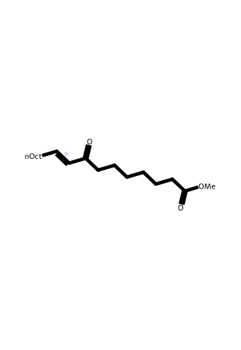 CCCCCCCC/C=C/C(=O)CCCCCCC(=O)OC